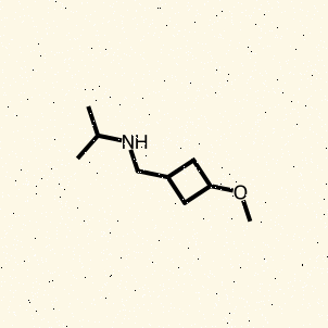 COC1CC(CNC(C)C)C1